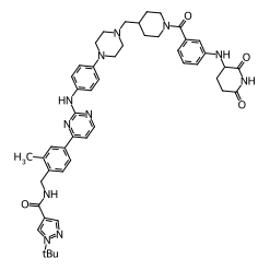 Cc1cc(-c2ccnc(Nc3ccc(N4CCN(CC5CCN(C(=O)c6cccc(NC7CCC(=O)NC7=O)c6)CC5)CC4)cc3)n2)ccc1CNC(=O)c1cnn(C(C)(C)C)c1